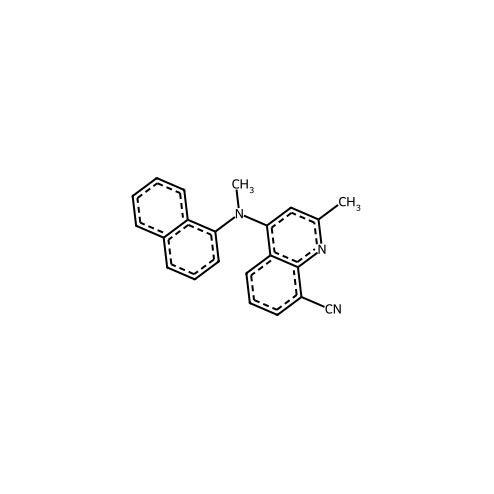 Cc1cc(N(C)c2cccc3ccccc23)c2cccc(C#N)c2n1